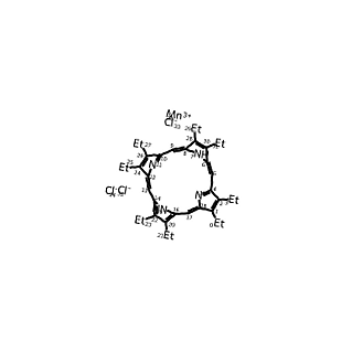 CCC1=C(CC)c2cc3[nH]c(cc4nc(cc5[nH]c(cc1n2)c(CC)c5CC)C(CC)=C4CC)c(CC)c3CC.[Cl-].[Cl-].[Cl-].[Mn+3]